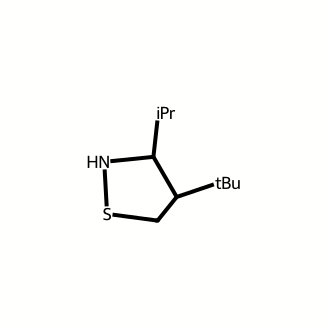 CC(C)C1NSCC1C(C)(C)C